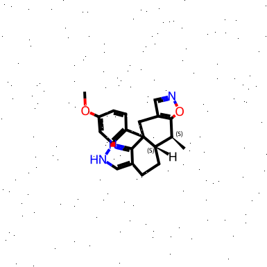 COc1ccc(C23Cc4cnoc4[C@@H](C)[C@@H]2CCc2c[nH]nc23)cc1